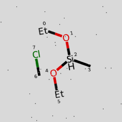 CCO[SiH](C)OCC.CCl